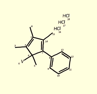 CC1=C(C)[C](C)([V])C(c2ccccc2)=C1C.Cl.Cl.Cl